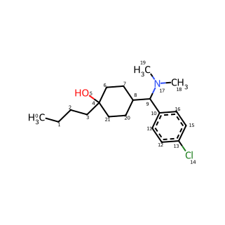 CCCCC1(O)CCC(C(c2ccc(Cl)cc2)N(C)C)CC1